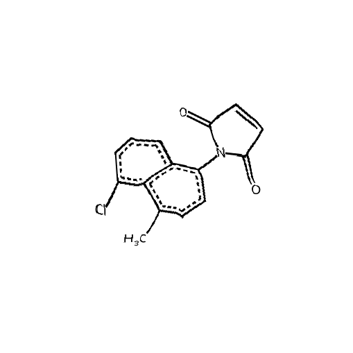 Cc1ccc(N2C(=O)C=CC2=O)c2cccc(Cl)c12